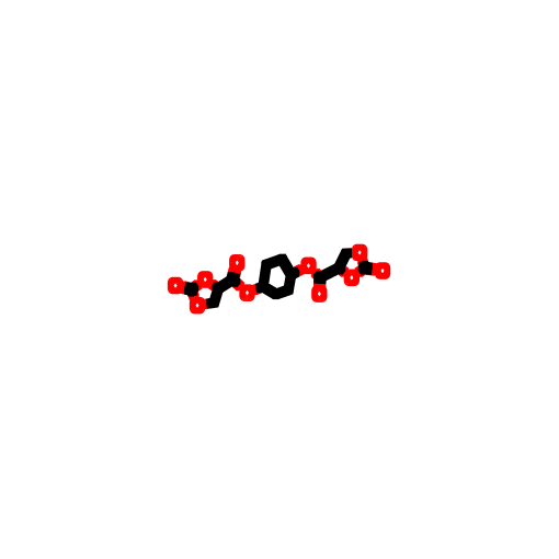 O=C1OCC(C(=O)OC2CCC(OC(=O)C3COC(=O)O3)CC2)O1